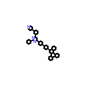 c1ccc(-c2nc(-c3ccc(-c4ccc(-c5cc6c7ccccc7c7ccccc7c6c6ccccc56)cc4)cc3)cc(-c3cccc(-c4ccncc4)c3)n2)cc1